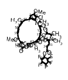 COc1cc2cc(c1Cl)N(C)C(=O)C[C@H](OC(=O)[C@H](C)N(C)C(=O)CCC(=O)Oc1c(F)c(F)c(F)c(F)c1F)[C@@]1(C)OC1[C@](C)(O)[C@@H]1C[C@H](NC(=O)O1)[C@H](OC)C=CC=C(C)C2